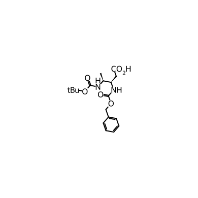 C[C@H](NC(=O)OC(C)(C)C)[C@@H](CC(=O)O)NC(=O)OCc1ccccc1